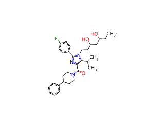 [CH2]CC(O)CC(O)CCn1c(-c2ccc(F)cc2)nc(C(=O)N2CCC(c3ccccc3)CC2)c1C(C)C